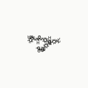 CCN(CC)c1ccc(-c2nc(-c3ccc(C4=NOC(C(=O)OC)C4)cc3)c(-c3ccc(/C=C/C(=O)NCCc4c[nH]c5ccccc45)cc3)[nH]2)cc1